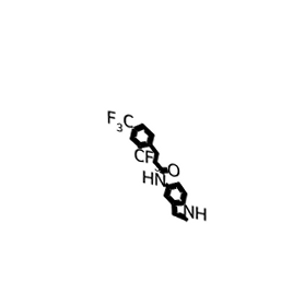 O=C(CCc1ccc(C(F)(F)F)cc1C(F)(F)F)Nc1ccc2[nH]ccc2c1